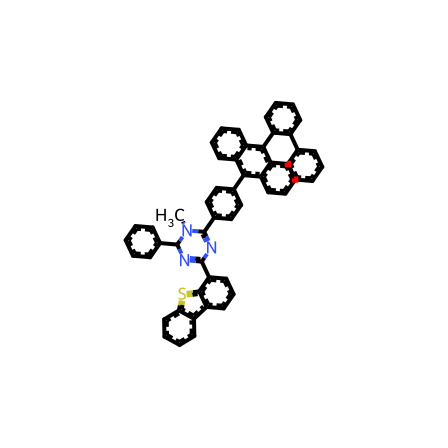 CN1C(c2ccc(-c3c4ccccc4c(-c4ccccc4-c4ccccc4)c4ccccc34)cc2)=NC(c2cccc3c2sc2ccccc23)=NC1c1ccccc1